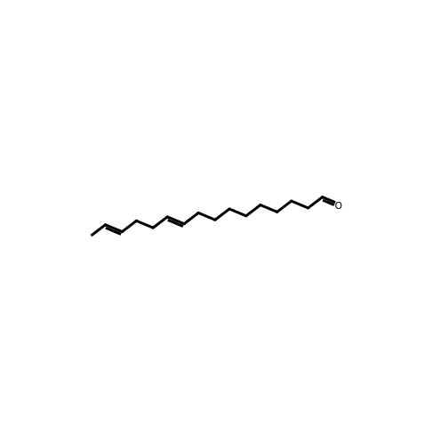 CC=CCCC=CCCCCCCCCC=O